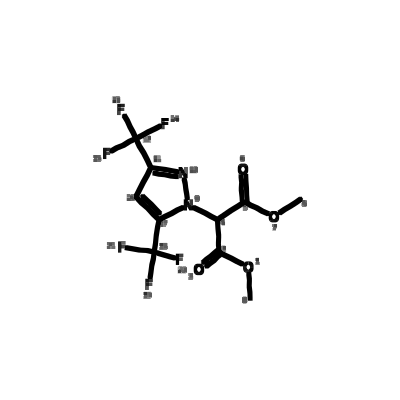 COC(=O)C(C(=O)OC)n1nc(C(F)(F)F)cc1C(F)(F)F